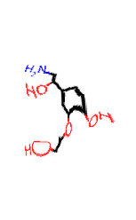 NC[C@H](O)c1ccc(O)c(OCCO)c1